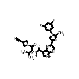 C=C(C)[C@@H](NC(=O)c1c[nH]c2ncc(-c3cn(-c4cc(F)cc(F)c4)c(C)n3)nc12)C(=O)N1CC(C#N)C1